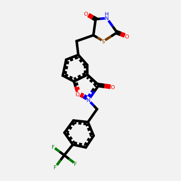 O=C1NC(=O)C(Cc2ccc3on(Cc4ccc(C(F)(F)F)cc4)c(=O)c3c2)S1